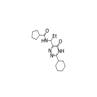 CCC(NC(=O)C1CCCC1)c1nnc(C2CCCCC2)[nH]c1=O